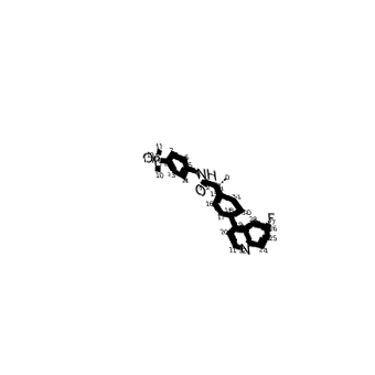 C[C@@H](C(=O)Nc1ccc(P(C)(C)=O)cc1)C1CCC(c2ccnc3ccc(F)cc23)CC1